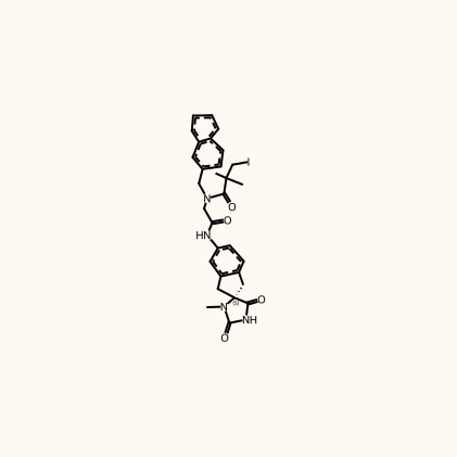 CN1C(=O)NC(=O)[C@@]12Cc1ccc(NC(=O)CN(Cc3ccc4ccccc4c3)C(=O)C(C)(C)CI)cc1C2